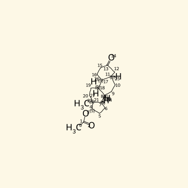 CC(=O)O[C@H]1CC[C@H]2[C@@H]3CC[C@H]4CC(=O)CC[C@@H]4[C@H]3CC[C@]12C